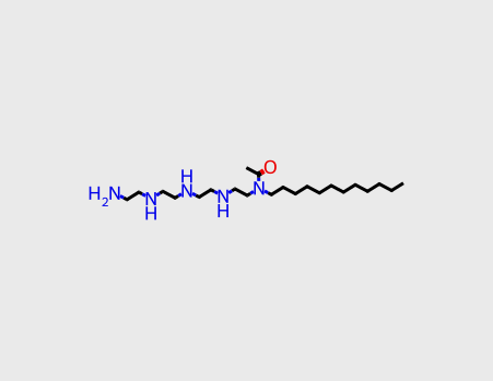 CCCCCCCCCCCCN(CCNCCNCCNCCN)C(C)=O